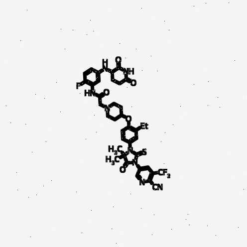 CCc1cc(N2C(=S)N(c3cnc(C#N)c(C(F)(F)F)c3)C(=O)C2(C)C)ccc1OC1CCN(CC(=O)Nc2cc(NC3CCC(=O)NC3=O)ccc2F)CC1